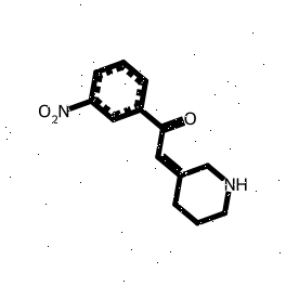 O=C(C=C1CCCNC1)c1cccc([N+](=O)[O-])c1